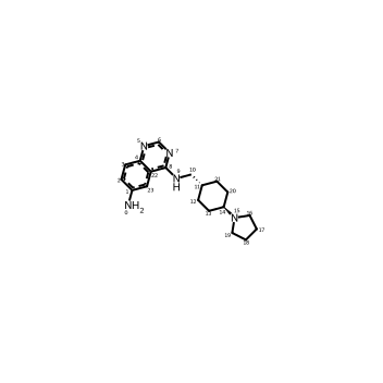 Nc1ccc2ncnc(NC[C@H]3CC[C@H](N4CCCC4)CC3)c2c1